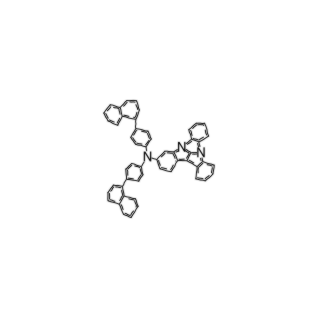 c1ccc2c(-c3ccc(N(c4ccc(-c5cccc6ccccc56)cc4)c4ccc5c6c7ccccc7n7c8ccccc8n(c5c4)c67)cc3)cccc2c1